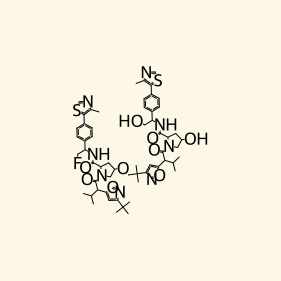 Cc1ncsc1-c1ccc(C(CF)NC(=O)C2CC(OCC(C)(C)c3cc(C(C(=O)N4CC(O)CC4C(=O)NC(CO)c4ccc(-c5scnc5C)cc4)C(C)C)on3)CN2C(=O)C(c2cc(C(C)(C)C)no2)C(C)C)cc1